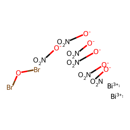 BrOBr.O=[N+]([O-])[O-].O=[N+]([O-])[O-].O=[N+]([O-])[O-].O=[N+]([O-])[O-].O=[N+]([O-])[O-].O=[N+]([O-])[O-].[Bi+3].[Bi+3]